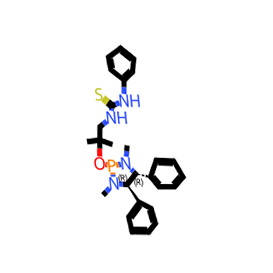 CN1[C@H](c2ccccc2)[C@@H](c2ccccc2)N(C)P1OC(C)(C)CNC(=S)Nc1ccccc1